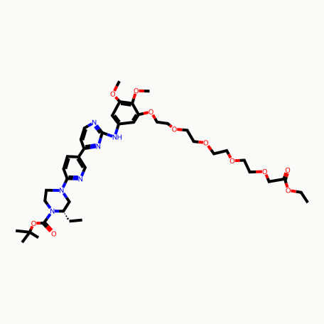 CCOC(=O)COCCOCCOCCOCCOc1cc(Nc2nccc(-c3ccc(N4CCN(C(=O)OC(C)(C)C)[C@@H](CC)C4)nc3)n2)cc(OC)c1OC